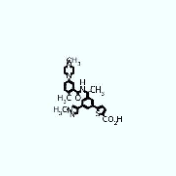 Cc1ccc(N2CCN(C)CC2)cc1C(=O)N[C@H](C)c1cc(-c2cnn(C)c2)cc(-c2ccc(C(=O)O)s2)c1